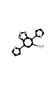 O=C(O)c1cc(-c2cccs2)c2nsnc2c1-c1cccs1